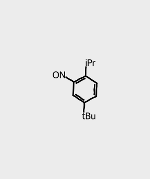 CC(C)c1ccc(C(C)(C)C)cc1N=O